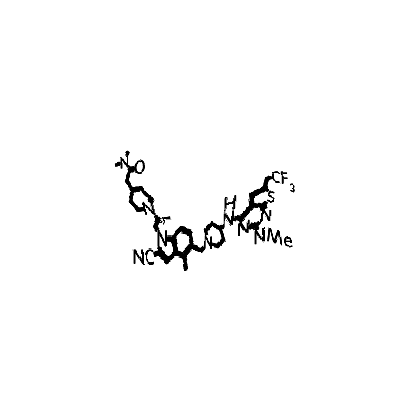 CNc1nc(NC2CCN(Cc3ccc4c(cc(C#N)n4C[C@H](C)N4CCC(CC(=O)N(C)C)CC4)c3C)CC2)c2cc(CC(F)(F)F)sc2n1